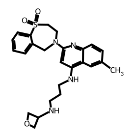 Cc1ccc2nc(N3CCS(=O)(=O)c4ccccc4C3)cc(NCCCNC3COC3)c2c1